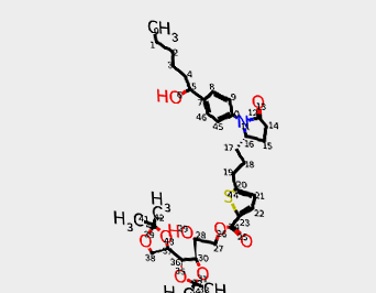 CCCCCC(O)c1ccc(N2C(=O)CC[C@@H]2CCCc2ccc(C(=O)OCC(O)[C@H]3OC(C)(C)O[C@@H]3[C@H]3COC(C)(C)O3)s2)cc1